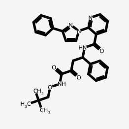 CC(C)(C)CONC(=O)C(=O)CC(NC(=O)c1cccnc1-n1ccc(-c2ccccc2)n1)c1ccccc1